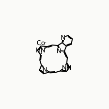 C1=Cc2cc3ccc(cc4nc(cc5ccc(cc1n2)[nH]5)-c1cccnc1-4)[nH]3.[Co]